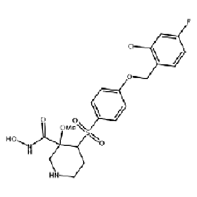 COC1(C(=O)NO)CNCCC1S(=O)(=O)c1ccc(OCc2ccc(F)cc2Cl)cc1